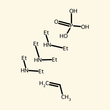 C=CC.CCNCC.CCNCC.CCNCC.O=P(O)(O)O